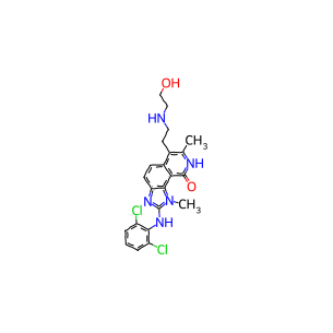 Cc1[nH]c(=O)c2c(ccc3nc(Nc4c(Cl)cccc4Cl)n(C)c32)c1CCNCCO